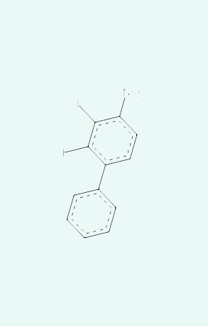 O=[N+]([O-])c1ccc(-c2ccccc2)c(I)c1I